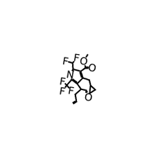 C=CCC(C=O)c1c(C(F)(F)F)nc(C(F)F)c(C(=O)OC)c1CC1CC1